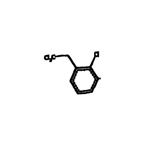 Clc1[c]cccc1CC(Cl)(Cl)Cl